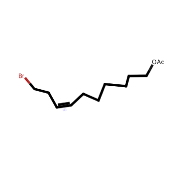 CC(=O)OCCCCCC/C=C\CCBr